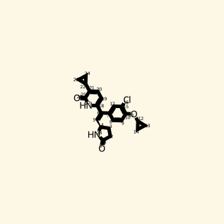 O=C1CC[C@H](/C=C(\c2ccc(OC3CC3)c(Cl)c2)c2ccc(C3CC3)c(=O)[nH]2)N1